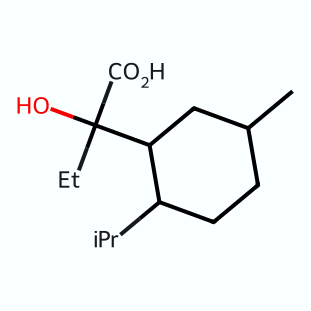 CCC(O)(C(=O)O)C1CC(C)CCC1C(C)C